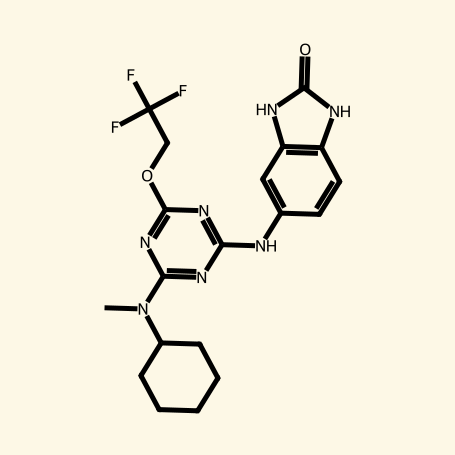 CN(c1nc(Nc2ccc3[nH]c(=O)[nH]c3c2)nc(OCC(F)(F)F)n1)C1CCCCC1